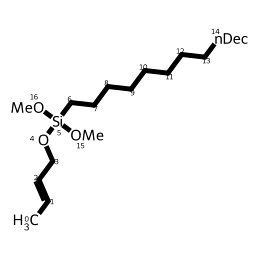 CC=CCO[Si](CCCCCCCCCCCCCCCCCC)(OC)OC